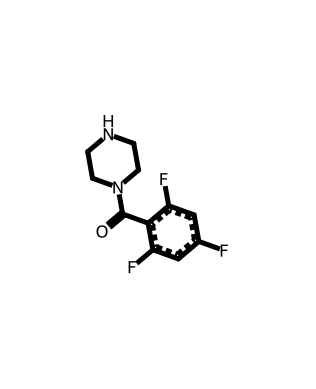 O=C(c1c(F)cc(F)cc1F)N1CCNCC1